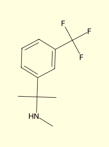 CNC(C)(C)c1cccc(C(F)(F)F)c1